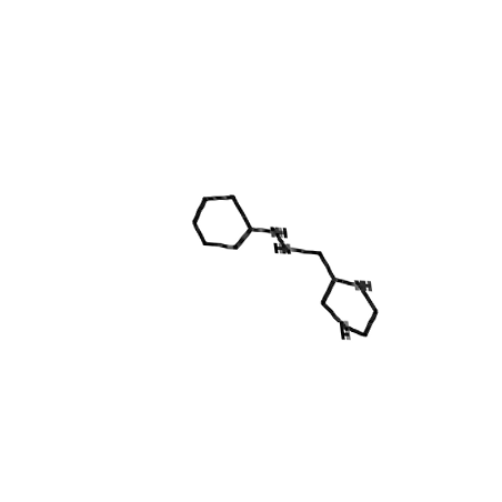 C1CCC(NNCC2CNCCN2)CC1